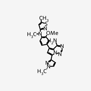 COc1cc(-c2cc(-c3ccn(C)n3)n3ncnc(N)c23)ccc1N(C)c1cc(C)sn1